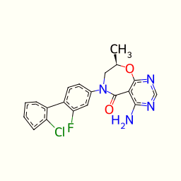 C[C@@H]1CN(c2ccc(-c3ccccc3Cl)c(F)c2)C(=O)c2c(N)ncnc2O1